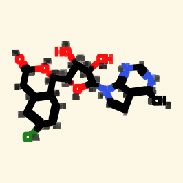 Cc1ncnc2c1ccn2[C@H]1O[C@H]([C@@H]2OC(=O)Cc3cc(Cl)ccc32)[C@@H](O)[C@H]1O